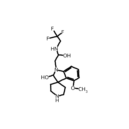 COc1cccc2c1C1(CCNCC1)C(O)N2CC(O)NCC(F)(F)F